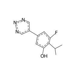 CC(C)c1c(O)cc(-c2cnnnc2)cc1F